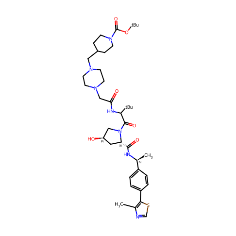 Cc1ncsc1-c1ccc([C@H](C)NC(=O)[C@@H]2C[C@@H](O)CN2C(=O)C(NC(=O)CN2CCN(CC3CCN(C(=O)OC(C)(C)C)CC3)CC2)C(C)(C)C)cc1